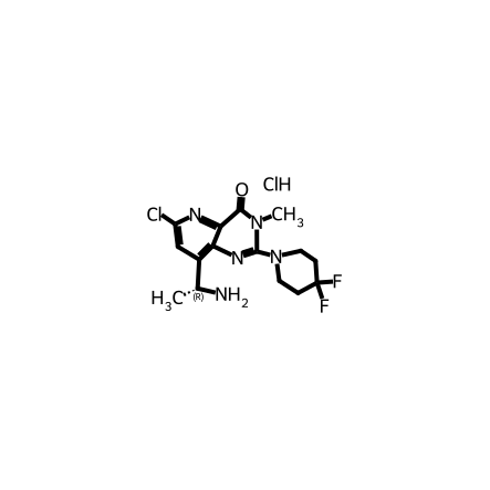 C[C@@H](N)c1cc(Cl)nc2c(=O)n(C)c(N3CCC(F)(F)CC3)nc12.Cl